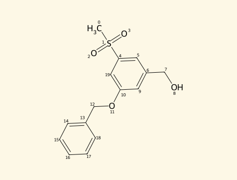 CS(=O)(=O)c1cc(CO)cc(OCc2ccccc2)c1